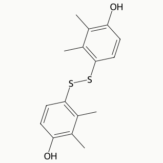 Cc1c(O)ccc(SSc2ccc(O)c(C)c2C)c1C